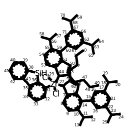 CCCCC1=Cc2c(ccc(C(C)C)c2-c2cc(C(C)C)cc(C(C)C)c2)[CH]1[Zr]([Cl])([Cl])([c]1cccc2c1[SiH2]c1ccccc1-2)[CH]1C(CCCC)=Cc2c1ccc(C(C)C)c2-c1cc(C(C)C)cc(C(C)C)c1